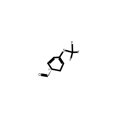 O=C[C@@H]1C=CC(SC(F)(F)F)=CC1